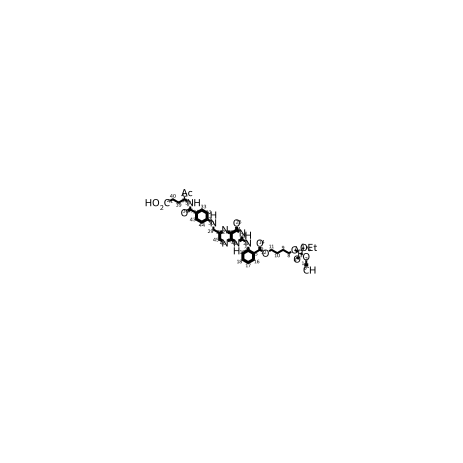 C#COP(=O)(OCC)OCCCCOC(=O)c1ccccc1Nc1nc(=O)c2nc(CNc3ccc(C(=O)N[C@@H](CCC(=O)O)C(C)=O)cc3)cnc2[nH]1